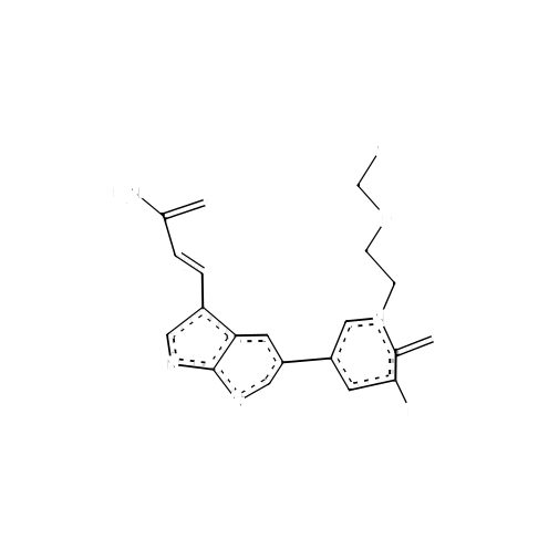 NC(=O)/C=C/c1c[nH]c2ncc(-c3cc(F)c(=O)n(CCOCC(F)(F)F)c3)cc12